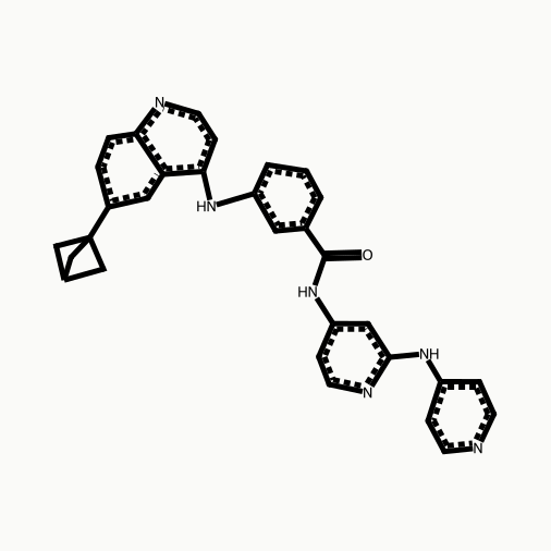 O=C(Nc1ccnc(Nc2ccncc2)c1)c1cccc(Nc2ccnc3ccc(C45CC(C4)C5)cc23)c1